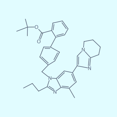 CCCc1nc2c(C)cc(-c3cn4c(n3)CCCC4)cc2n1Cc1ccc(-c2ccccc2C(=O)OC(C)(C)C)cc1